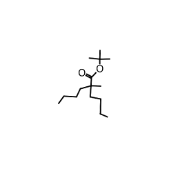 CCCCC(C)(CCCC)C(=O)OC(C)(C)C